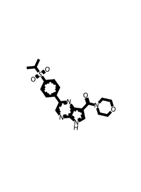 CC(C)S(=O)(=O)c1ccc(-c2cnc3[nH]cc(C(=O)N4CCOCC4)c3n2)cc1